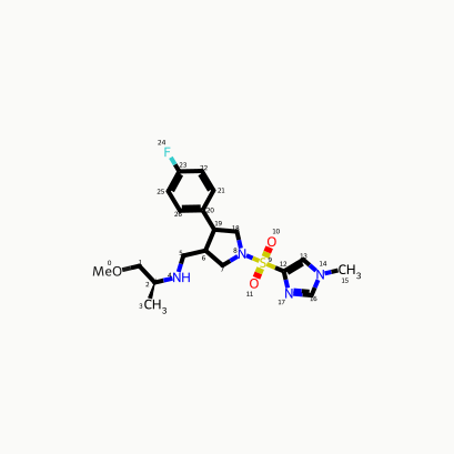 COC[C@H](C)NCC1CN(S(=O)(=O)c2cn(C)cn2)CC1c1ccc(F)cc1